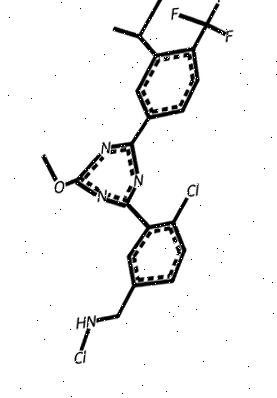 COc1nc(-c2ccc(C(F)(F)F)c(C(C)C)c2)nc(-c2cc(CNCl)ccc2Cl)n1